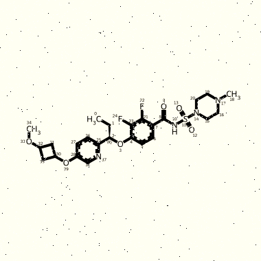 CC[C@@H](Oc1ccc(C(=O)NS(=O)(=O)N2CCN(C)CC2)c(F)c1F)c1ccc(OC2CC(OC)C2)cn1